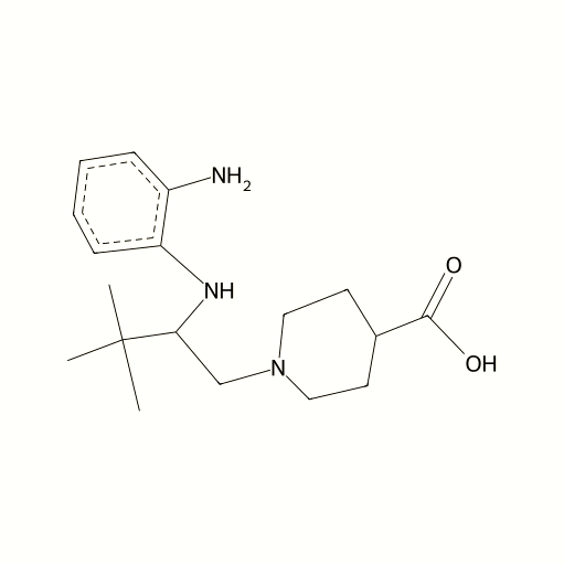 CC(C)(C)C(CN1CCC(C(=O)O)CC1)Nc1ccccc1N